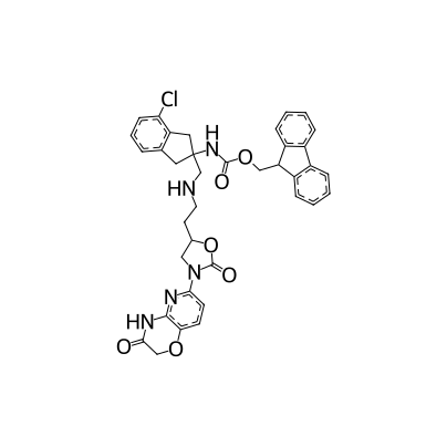 O=C1COc2ccc(N3CC(CCNCC4(NC(=O)OCC5c6ccccc6-c6ccccc65)Cc5cccc(Cl)c5C4)OC3=O)nc2N1